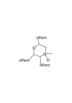 CCCCCC1C[N+](C)([O-])C(CCCCC)C(CCCCC)O1